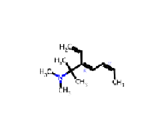 C=C/C(=C\C=C/C)C(C)(C)N(C)C